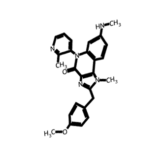 CNc1ccc2c3c(nc(Cc4ccc(OC)cc4)n3C)c(=O)n(-c3cccnc3C)c2c1